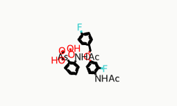 CC(=O)Nc1ccc(OCc2ccc(F)cc2)cc1F.CC(=O)Nc1ccccc1[As](=O)(O)OO